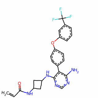 C=CC(=O)NC1CC(Nc2ncnc(N)c2-c2ccc(Oc3cccc(C(F)(F)F)c3)cc2)C1